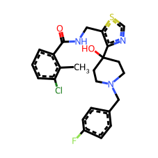 Cc1c(Cl)cccc1C(=O)NCc1scnc1C1(O)CCN(Cc2ccc(F)cc2)CC1